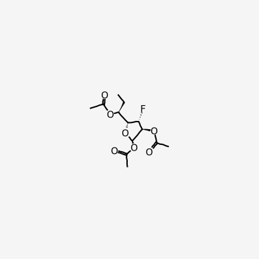 CC[C@H](OC(C)=O)[C@H]1O[C@H](OC(C)=O)[C@H](OC(C)=O)[C@H]1F